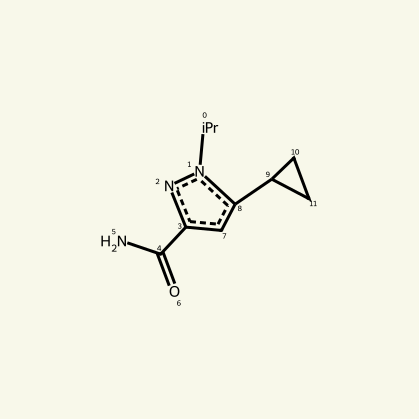 CC(C)n1nc(C(N)=O)cc1C1CC1